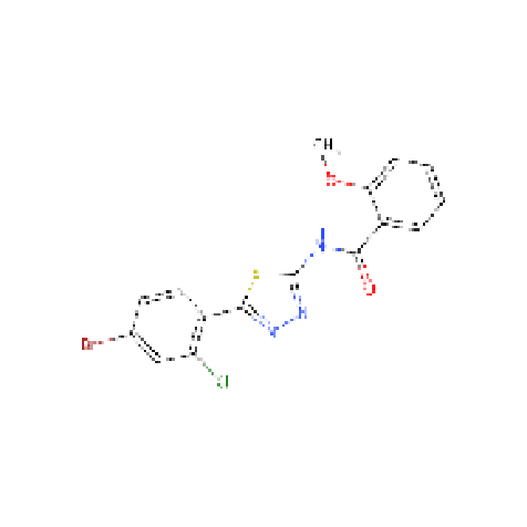 COc1ccccc1C(=O)Nc1nnc(-c2ccc(Br)cc2Cl)s1